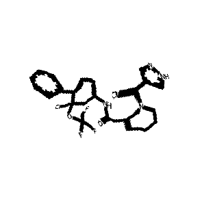 O=C(NC1=CC=C(c2ccccc2)C(Cl)(OC(F)(F)F)C1)C1CCCCN1C(=O)c1cn[nH]c1